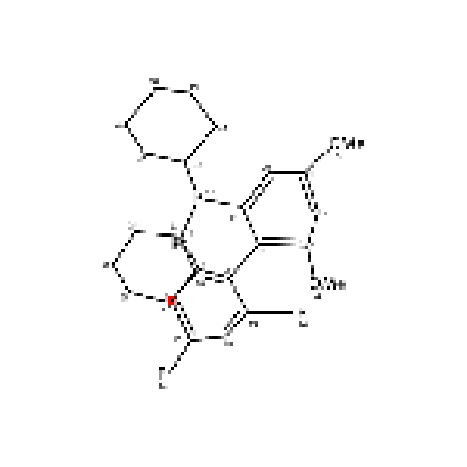 COc1cc(OC)c(-c2c(C(C)C)cc(C(C)C)cc2C(C)C)c(P(C2CCCCC2)C2CCCCC2)c1